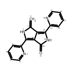 C=c1[nH]c(-c2ccccn2)c2c1=C(c1ccccn1)NC2=O